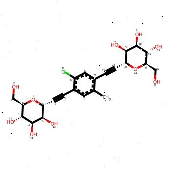 Cc1cc(C#C[C@H]2O[C@H](CO)[C@@H](O)[C@H](O)[C@@H]2O)c(Cl)cc1C#C[C@H]1O[C@H](CO)[C@@H](O)[C@H](O)[C@@H]1O